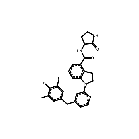 O=C(NC1CCNC1=O)c1cccc2c1CCN2c1cc(Cc2cc(F)c(F)c(F)c2)ccn1